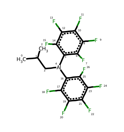 CC(C)[CH2][Al]([c]1c(F)c(F)c(F)c(F)c1F)[c]1c(F)c(F)c(F)c(F)c1F